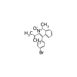 C=C(C)c1c(-c2ccc(Br)cc2)c2ccccc2c(C)[n+]1[O-]